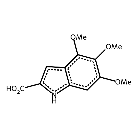 COc1cc2[nH]c(C(=O)O)cc2c(OC)c1OC